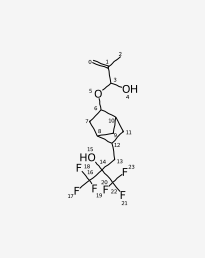 C=C(C)C(O)OC1CC2CC1CC2CC(O)(C(F)(F)F)C(F)(F)F